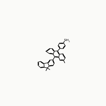 Cc1ccc2c(-c3ccc([SiH3])cc3)c3ccccc3c(-c3ccc4c(c3)-c3ccccc3C4(C)C)c2c1